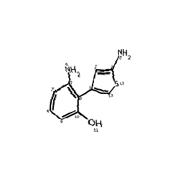 Nc1cc(-c2c(N)cccc2O)cs1